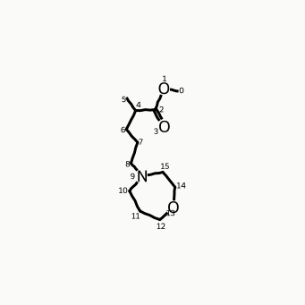 COC(=O)C(C)CCCN1CCCOCC1